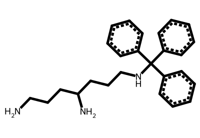 NCCCC(N)CCCNC(c1ccccc1)(c1ccccc1)c1ccccc1